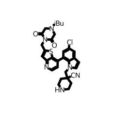 CCC(C)N1CC(=O)N(Cc2cc3nccc(-c4cc(Cl)cc5ccn(CC6(C#N)CCNCC6)c45)c3s2)C(=O)C1